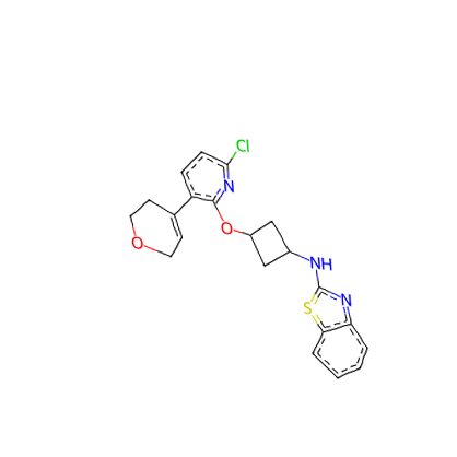 Clc1ccc(C2=CCOCC2)c(OC2CC(Nc3nc4ccccc4s3)C2)n1